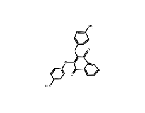 Nc1ccc(OC2=C(Oc3ccc(N)cc3)C(=O)c3ccccc3C2=O)cc1